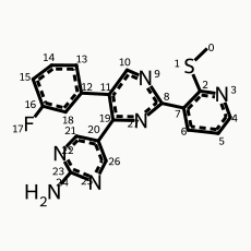 CSc1ncccc1-c1ncc(-c2cccc(F)c2)c(-c2cnc(N)nc2)n1